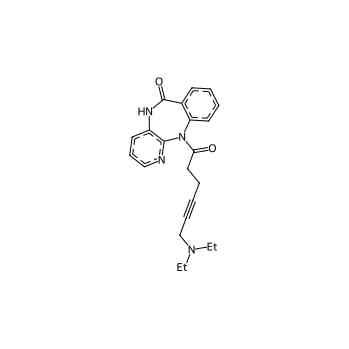 CCN(CC)CC#CCCC(=O)N1c2ccccc2C(=O)Nc2cccnc21